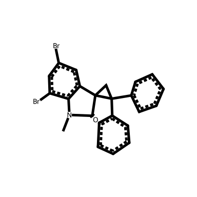 CN1C(=O)C2(CC2(c2ccccc2)c2ccccc2)c2cc(Br)cc(Br)c21